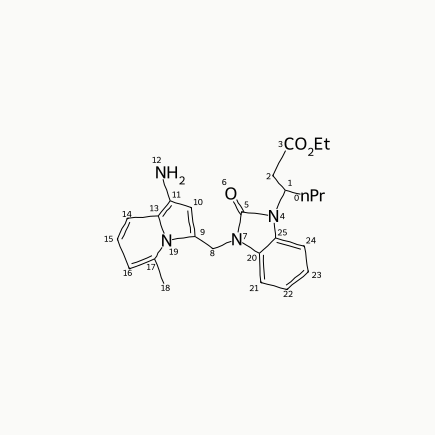 CCCC(CC(=O)OCC)n1c(=O)n(Cc2cc(N)c3cccc(C)n23)c2ccccc21